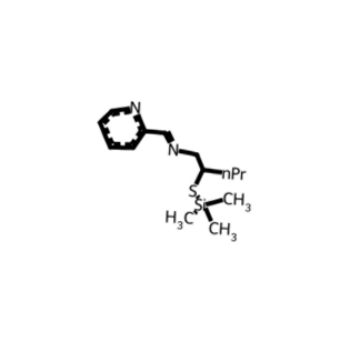 CCCC(CN=Cc1ccccn1)S[Si](C)(C)C